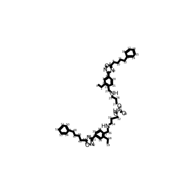 CCc1cc(-c2noc(CCCCc3ccccc3)n2)ccc1CNCCCO[PH](=O)OCCCNCc1ccc(-c2noc(CCCCc3ccccc3)n2)cc1CC